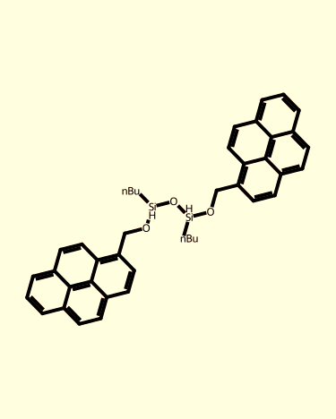 CCCC[SiH](OCc1ccc2ccc3cccc4ccc1c2c34)O[SiH](CCCC)OCc1ccc2ccc3cccc4ccc1c2c34